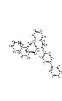 c1ccc(-c2ccc(-c3nc4ccccc4c4nc5c(ccc6cccnc65)cc34)cc2)cc1